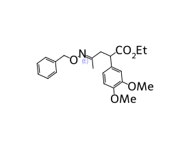 CCOC(=O)C(C/C(C)=N/OCc1ccccc1)c1ccc(OC)c(OC)c1